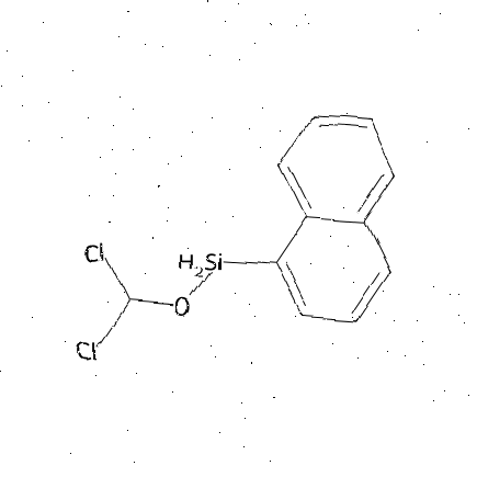 ClC(Cl)O[SiH2]c1cccc2ccccc12